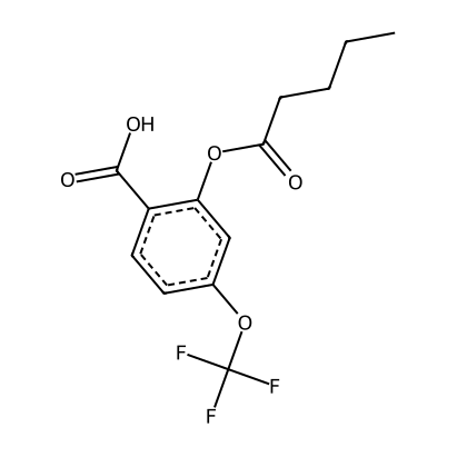 CCCCC(=O)Oc1cc(OC(F)(F)F)ccc1C(=O)O